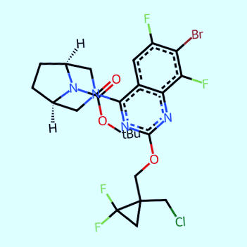 CC(C)(C)OC(=O)N1[C@@H]2CC[C@H]1CN(c1nc(OCC3(CCl)CC3(F)F)nc3c(F)c(Br)c(F)cc13)C2